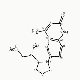 CC(=O)OC[C@H](O)C1CCCN1c1ccc2[nH]c(=O)cc(C(F)(F)F)c2c1